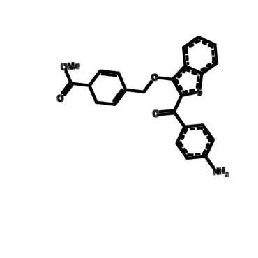 COC(=O)C1C=CC(COc2c(C(=O)c3ccc(N)cc3)sc3ccccc23)=CC1